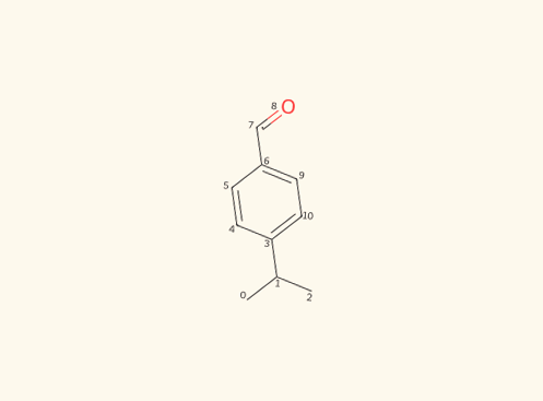 CC(C)c1ccc([C]=O)cc1